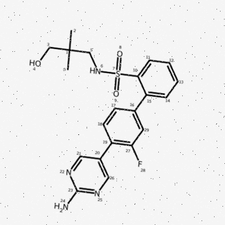 CC(C)(CO)CNS(=O)(=O)c1ccccc1-c1ccc(-c2cnc(N)nc2)c(F)c1